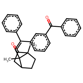 CC12CCC(CC1=O)C2(C)C=C(c1ccccc1)c1cccc(C(=O)c2ccccc2)c1